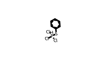 Cl[PH](Cl)(Cl)Sc1ccccc1